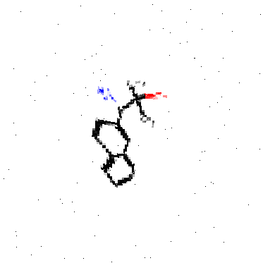 CC(C)(O)[C@@H](N)c1ccc2ccccc2c1